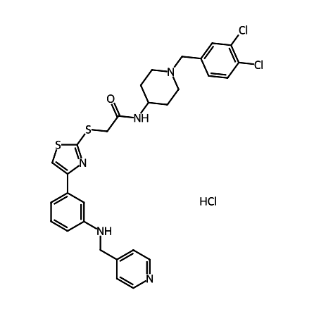 Cl.O=C(CSc1nc(-c2cccc(NCc3ccncc3)c2)cs1)NC1CCN(Cc2ccc(Cl)c(Cl)c2)CC1